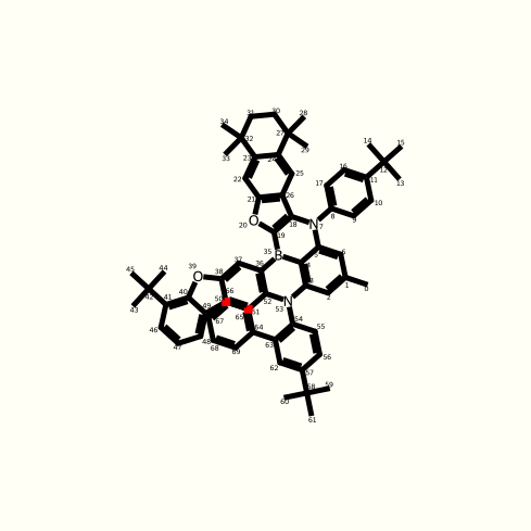 Cc1cc2c3c(c1)N(c1ccc(C(C)(C)C)cc1)c1c(oc4cc5c(cc14)C(C)(C)CCC5(C)C)B3c1cc3oc4c(C(C)(C)C)cccc4c3cc1N2c1ccc(C(C)(C)C)cc1-c1ccccc1